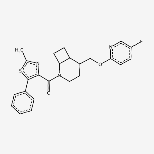 Cc1nc(C(=O)N2CCC(COc3ccc(F)cn3)C3CCC32)c(-c2ccccc2)s1